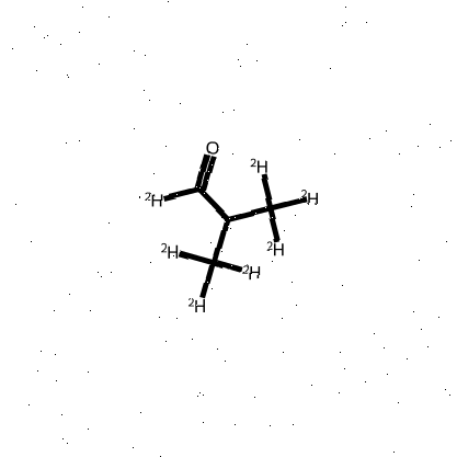 [2H]C(=O)C(C([2H])([2H])[2H])C([2H])([2H])[2H]